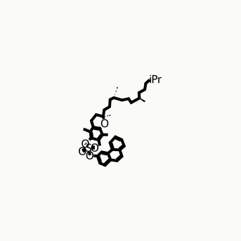 Cc1c(C)c2c(c(C)c1OS(=O)(=O)Oc1ccc3ccc4ccccc4c3c1)CC[C@@](C)(CCC[C@H](C)CCC[C@H](C)CCCC(C)C)O2